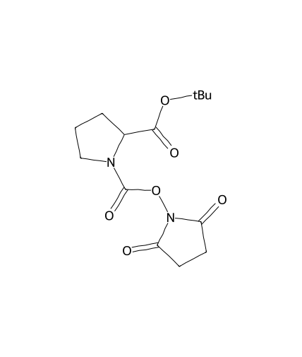 CC(C)(C)OC(=O)C1CCCN1C(=O)ON1C(=O)CCC1=O